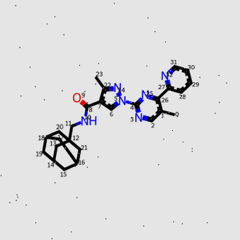 Cc1cnc(-n2cc(C(=O)NCC34CC5CC(CC(C5)C3)C4)c(C)n2)nc1-c1ccccn1